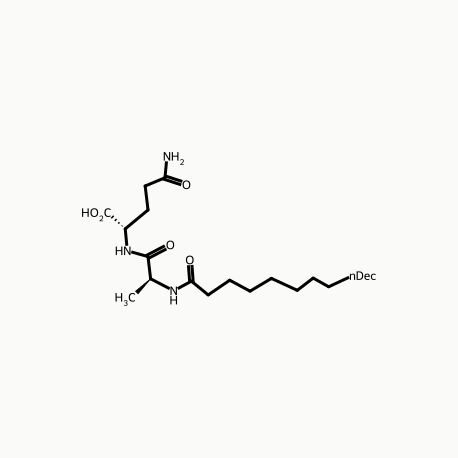 CCCCCCCCCCCCCCCCCC(=O)N[C@@H](C)C(=O)N[C@@H](CCC(N)=O)C(=O)O